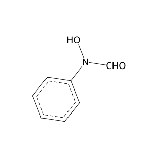 O=CN(O)c1ccccc1